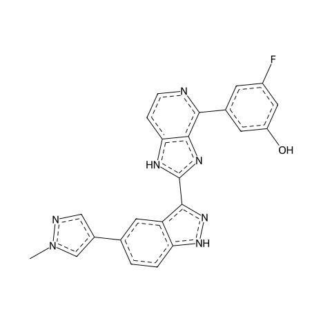 Cn1cc(-c2ccc3[nH]nc(-c4nc5c(-c6cc(O)cc(F)c6)nccc5[nH]4)c3c2)cn1